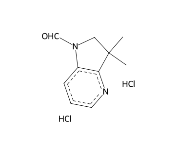 CC1(C)CN(C=O)c2cccnc21.Cl.Cl